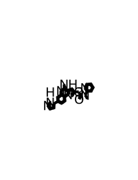 CN(C(=O)Oc1cc2c(N)nc3cc(-c4ccn[nH]4)ccc3n2c1)c1ccccn1